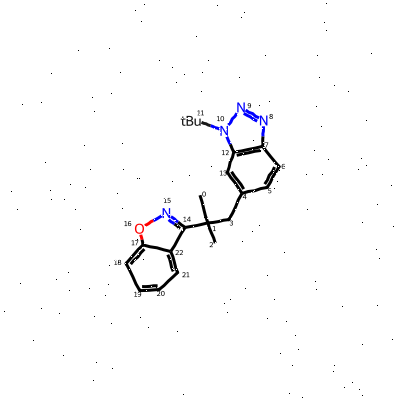 CC(C)(Cc1ccc2nnn(C(C)(C)C)c2c1)c1noc2ccccc12